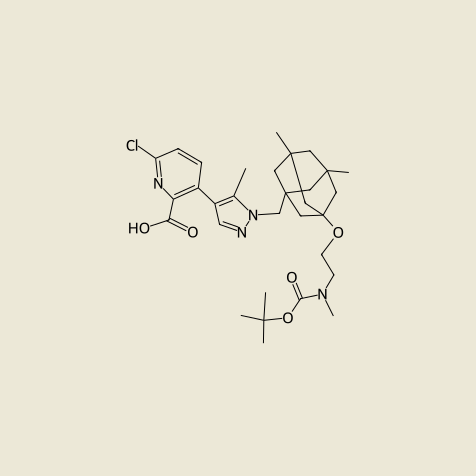 Cc1c(-c2ccc(Cl)nc2C(=O)O)cnn1CC12CC3(C)CC(C)(C1)CC(OCCN(C)C(=O)OC(C)(C)C)(C3)C2